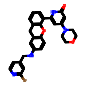 O=c1cc(N2CCOCC2)cc(-c2cccc3c2Oc2ccc(NCc4ccnc(Br)c4)cc2C3)[nH]1